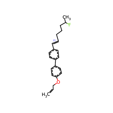 C=CCOc1ccc(-c2ccc(/C=C/CCCC(C)F)cc2)cc1